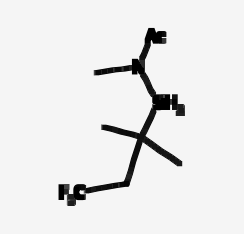 CC(=O)N(C)[SiH2]C(C)(C)CC(F)(F)F